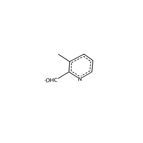 Cc1cccnc1[C]=O